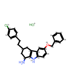 Cl.NC1CC(CCc2ccc(Cl)cc2)Cc2c1[nH]c1ccc(OCc3ccccc3)cc21